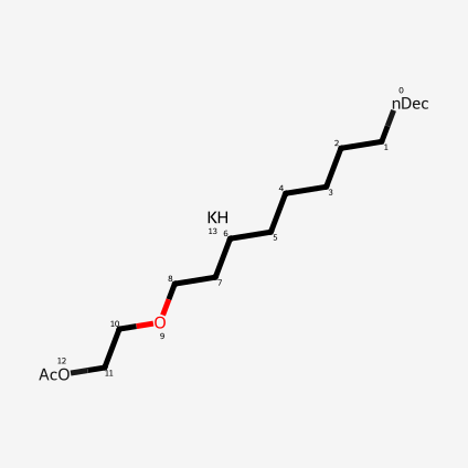 CCCCCCCCCCCCCCCCCCOCCOC(C)=O.[KH]